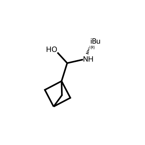 CC[C@@H](C)NC(O)C12CC(C1)C2